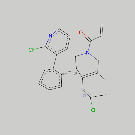 C=CC(=O)N1CC(C)=C(/C=C(\C)Cl)[C@H](c2ccccc2-c2cccnc2Cl)C1